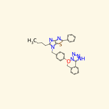 CCCCc1nc2nc(-c3ccccc3)sc2n1Cc1ccc(OCc2ccccc2-c2nnn[nH]2)cc1